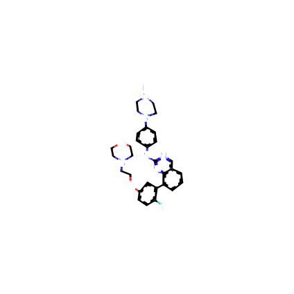 Fc1ccc(OCCN2CCOCC2)cc1-c1cccc2cnc(Nc3ccc(N4CCNCC4)cc3)nc12